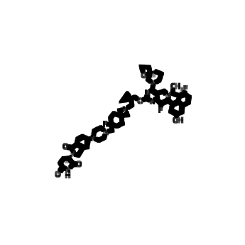 CCc1c(F)ccc2cc(O)cc(-c3ncc4c(N5CCC[C@]6(CCO6)C5)nc(OCC5(CN6CC7(CCC(F)(CN8CCN(c9ccc%10c(c9)CN([C@H]9CCC(=O)NC9=O)C%10=O)CC8)CC7)C6)CC5)nc4c3F)c12